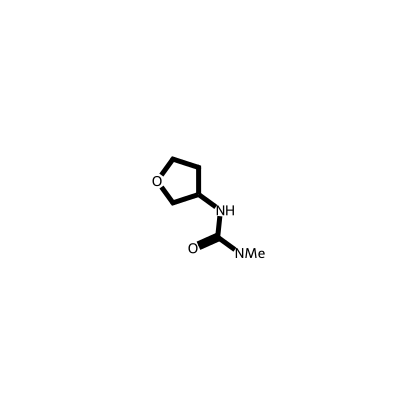 CNC(=O)NC1CCOC1